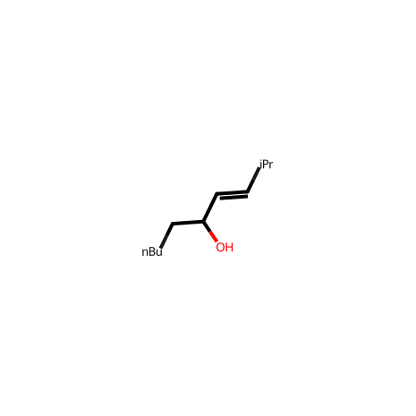 CCCCCC(O)C=CC(C)C